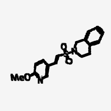 COc1ccc(C=CS(=O)(=O)N2CCc3ccccc3C2)cn1